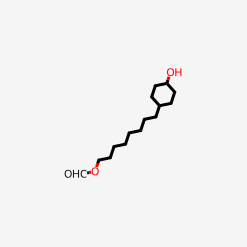 O=COCCCCCCCCC1CCC(O)CC1